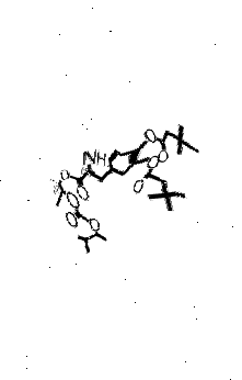 CC(C)C(C)OC(=O)OC(C)[C@H](C)OC(=O)[C@@H](N)Cc1ccc(OC(=O)CC(C)(C)C)c(OC(=O)CC(C)(C)C)c1